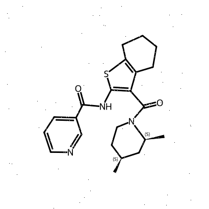 C[C@H]1CCN(C(=O)c2c(NC(=O)c3cccnc3)sc3c2CCCC3)[C@@H](C)C1